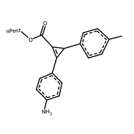 CCCCCOC(=O)C1=C(c2ccc(N)cc2)C1c1ccc(C)cc1